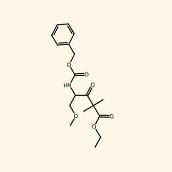 CCOC(=O)C(C)(C)C(=O)C(COC)NC(=O)OCc1ccccc1